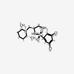 C[C@@H]1CCC[C@H](C)N1C[C@@H](CN)NS(=O)(=O)c1cc(Cl)cc(Cl)c1